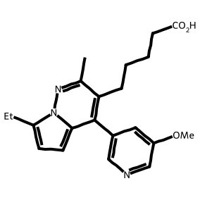 CCc1ccc2c(-c3cncc(OC)c3)c(CCCCC(=O)O)c(C)nn12